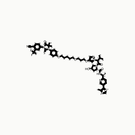 Cc1ncsc1-c1ccc([C@H](C)NC(=O)[C@@H]2C[C@@H](O)CN2C(=O)C(C(C)C)n2cc(OCCCOCCCCCOc3ccc(N4C(=S)N(c5ccc(C#N)c(C(F)(F)F)c5)C(=O)C4(C)C)cc3)cn2)nc1